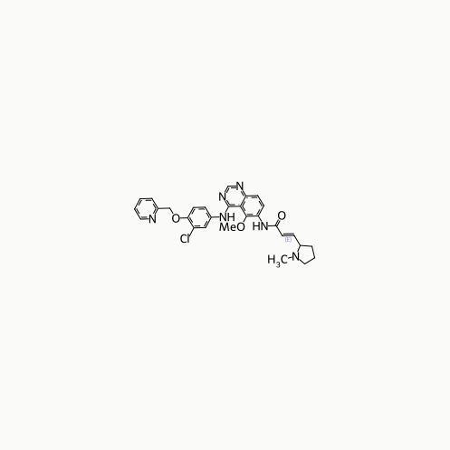 COc1c(NC(=O)/C=C/C2CCCN2C)ccc2ncnc(Nc3ccc(OCc4ccccn4)c(Cl)c3)c12